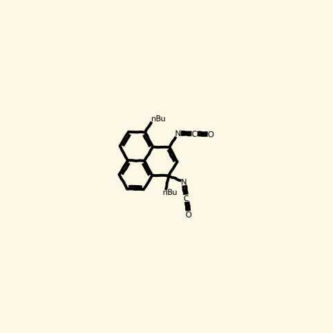 CCCCc1ccc2cccc3c2c1C(N=C=O)=CC3(CCCC)N=C=O